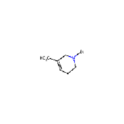 CCN1CCC=C(C(=O)O)C1